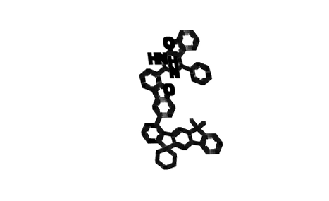 CC1(C)c2ccccc2C2C=C3C(=CC21)c1c(-c2ccc4oc5c(C6Nc7oc8ccccc8c7C(c7ccccc7)N6)cccc5c4c2)cccc1C31CCCCC1